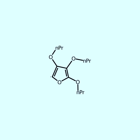 CCCOc1[c]oc(OCCC)c1OCCC